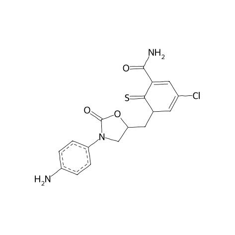 NC(=O)C1=CC(Cl)=CC(CC2CN(c3ccc(N)cc3)C(=O)O2)C1=S